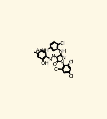 CC(=O)Nc1ccc(Cl)c(NC2=NN(c3c(Cl)cc(Cl)cc3Cl)C(=O)C2/N=N/c2ccc(C)cc2O)c1